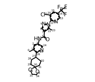 Cc1cc(NC(=O)c2cnn(-c3ncc(C(F)(F)F)cc3Cl)c2C)cnc1C1CCC2(CC1)OCCO2